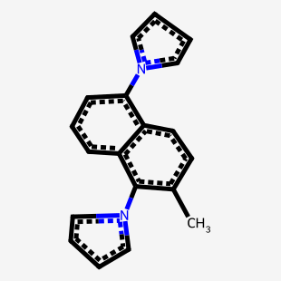 Cc1ccc2c(-n3cccc3)cccc2c1-n1cccc1